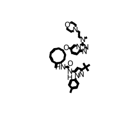 C=C1/C=C\C=C/C[C@H](Oc2ccc3nnc(N(C)CCN4CCOCC4)n3c2)CC[C@@H]1NC(=O)Nc1cc(C(C)(C)C)nn1-c1ccc(C)cc1